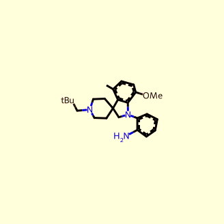 COc1ccc(C)c2c1N(c1ccccc1N)CC21CCN(CC(C)(C)C)CC1